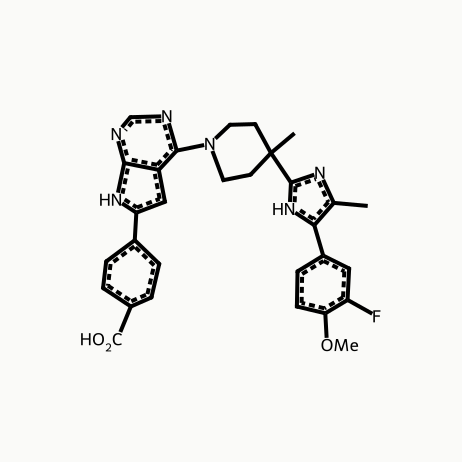 COc1ccc(-c2[nH]c(C3(C)CCN(c4ncnc5[nH]c(-c6ccc(C(=O)O)cc6)cc45)CC3)nc2C)cc1F